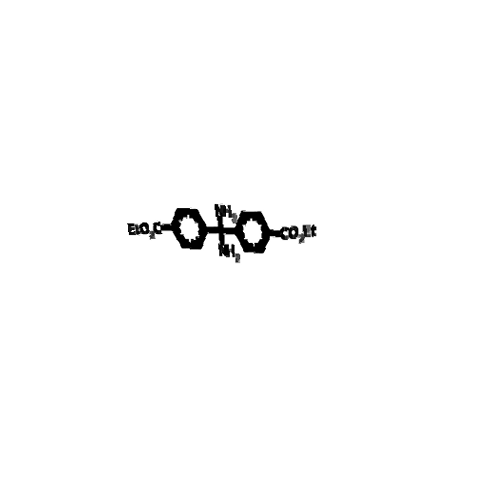 CCOC(=O)c1ccc(C(N)(N)c2ccc(C(=O)OCC)cc2)cc1